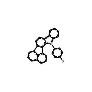 Fc1ccc(-n2c3ccccc3c3ccc4c(c32)-c2cccc3cccc-4c23)cc1